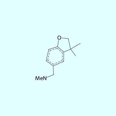 CNCc1ccc2c(c1)C(C)(C)CO2